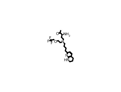 CC(=O)[C@@H](N)CCN(CCCCc1ccc2c(n1)NCCC2)CCOCC(F)(F)F